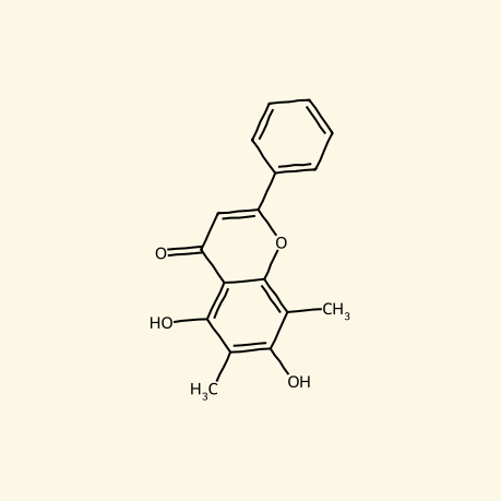 Cc1c(O)c(C)c2oc(-c3ccccc3)cc(=O)c2c1O